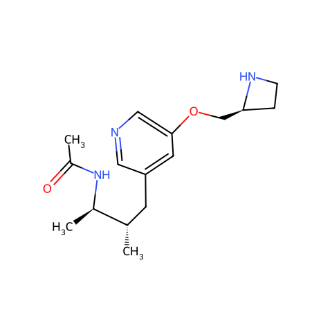 CC(=O)N[C@H](C)[C@@H](C)Cc1cncc(OC[C@@H]2CCN2)c1